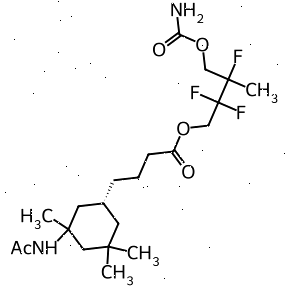 CC(=O)NC1(C)C[C@H](CCCC(=O)OCC(F)(F)C(C)(F)COC(N)=O)CC(C)(C)C1